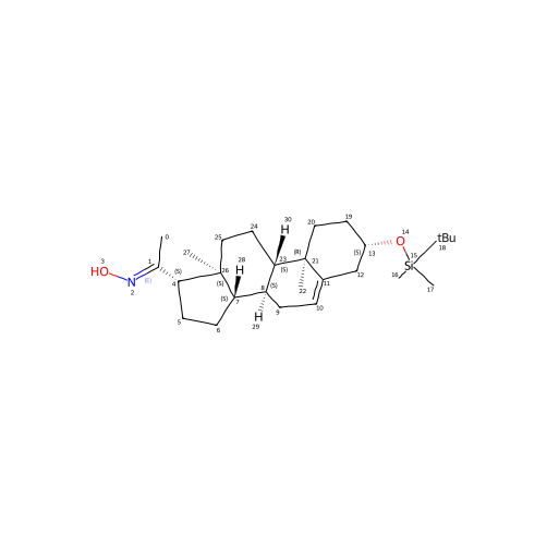 C/C(=N\O)[C@H]1CC[C@H]2[C@@H]3CC=C4C[C@@H](O[Si](C)(C)C(C)(C)C)CC[C@]4(C)[C@H]3CC[C@]12C